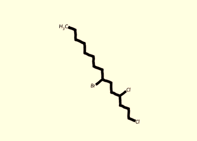 CCCCCCCCC(Br)CCC(Cl)CCCCl